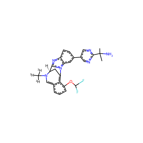 [2H]C([2H])([2H])N1C=c2cccc(OC(F)F)c2=C2C[C@@H]1c1nc3ccc(-c4cnc(C(C)(C)N)nc4)cc3n12